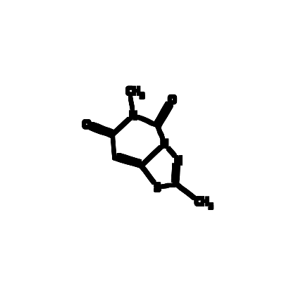 Cc1nn2c(=O)n(C)c(=O)cc2s1